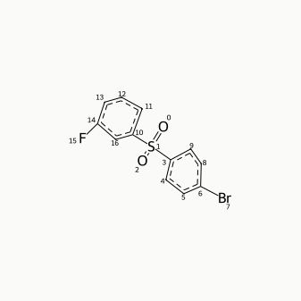 O=S(=O)(c1ccc(Br)cc1)c1cccc(F)c1